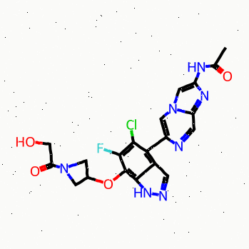 CC(=O)Nc1cn2cc(-c3c(Cl)c(F)c(OC4CN(C(=O)CO)C4)c4[nH]ncc34)ncc2n1